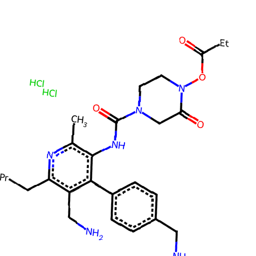 CCC(=O)ON1CCN(C(=O)Nc2c(C)nc(CC(C)C)c(CN)c2-c2ccc(CN)cc2)CC1=O.Cl.Cl